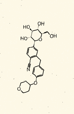 N#Cc1ccc([C@@H]2O[C@H](CO)[C@@H](O)[C@H](O)[C@H]2O)cc1Cc1ccc(OC2CCOCC2)cc1